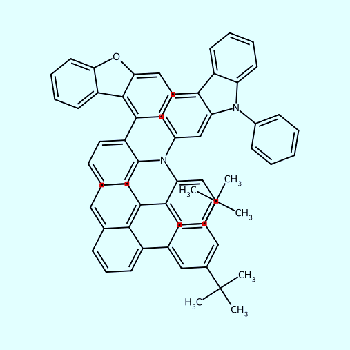 CC(C)(C)c1cc(-c2cccc3c2=C(c2ccccc2N(c2ccc4c5ccccc5n(-c5ccccc5)c4c2)c2ccccc2-c2cccc4oc5ccccc5c24)CCC=3)cc(C(C)(C)C)c1